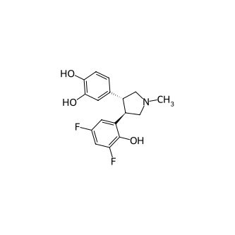 CN1C[C@@H](c2ccc(O)c(O)c2)[C@H](c2cc(F)cc(F)c2O)C1